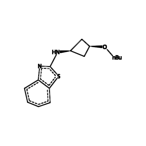 CCCCO[C@H]1C[C@@H](Nc2nc3ccccc3s2)C1